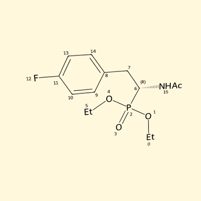 CCOP(=O)(OCC)[C@H](Cc1ccc(F)cc1)NC(C)=O